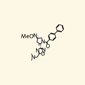 CO/N=C1\C[C@@H](c2noc(CN(C)C)n2)N(C(=O)c2ccc(-c3ccccc3)cc2)C1